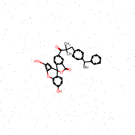 CC(C)(Cc1ccc(C(c2ccccc2)C(C)(C)C)cc1)C(=O)c1ccc2c(c1)C(=O)OC21c2ccc(O)cc2Oc2cc(O)ccc21